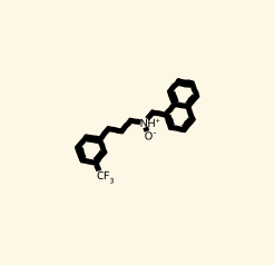 [O-][NH+](CCCc1cccc(C(F)(F)F)c1)Cc1cccc2ccccc12